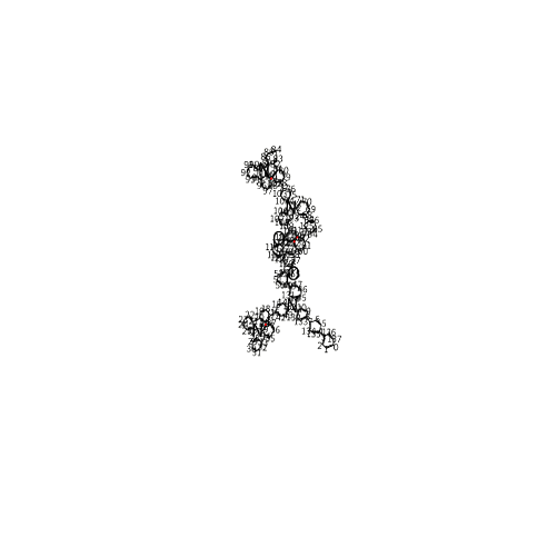 c1ccc(-c2ccc(-c3ccc(N(c4ccc(-c5ccc(-c6ccccc6-n6c7ccccc7c7ccccc76)cc5)cc4)c4cccc(-c5cccc6c5oc5cc(-c7ccc(-c8cccc(-c9cccc(N(c%10ccc(-c%11ccc(-c%12ccccc%12-n%12c%13ccccc%13c%13ccccc%13%12)cc%11)cc%10)c%10cccc(-c%11cccc%12c%11oc%11ccccc%11%12)c%10)c9)c8)cc7)ccc56)c4)cc3)cc2)cc1